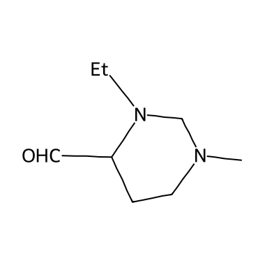 CCN1CN(C)CCC1C=O